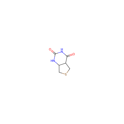 O=C1NC(=O)C2CSCC2N1